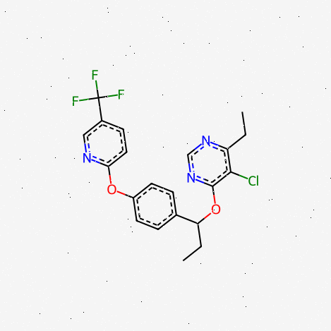 CCc1ncnc(OC(CC)c2ccc(Oc3ccc(C(F)(F)F)cn3)cc2)c1Cl